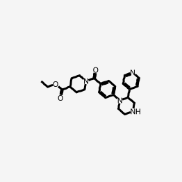 CCOC(=O)C1CCN(C(=O)c2ccc(N3CCNCC3c3ccncc3)cc2)CC1